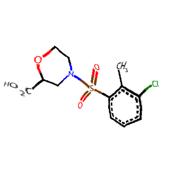 Cc1c(Cl)cccc1S(=O)(=O)N1CCOC(C(=O)O)C1